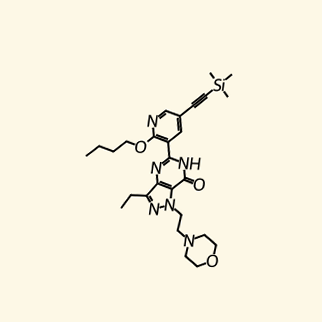 CCCCOc1ncc(C#C[Si](C)(C)C)cc1-c1nc2c(CC)nn(CCN3CCOCC3)c2c(=O)[nH]1